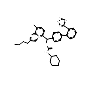 CCCCc1cn2c(C(OC(=O)NC3CCCCC3)c3ccc(-c4ccccc4-c4nnn[nH]4)cc3)ccc(C)c2n1